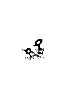 CN(/N=C/c1ccc(F)cc1C(=O)O)c1nc(-c2ccccc2F)ns1